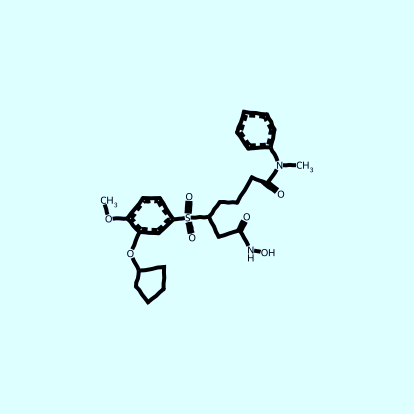 COc1ccc(S(=O)(=O)C(CCCC(=O)N(C)c2ccccc2)CC(=O)NO)cc1OC1CCCC1